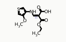 CCOC(=O)/C(=C/Nc1cscc1OC)C(=O)O